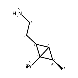 CC(C)C12C(CCN)C1[C@H]2C